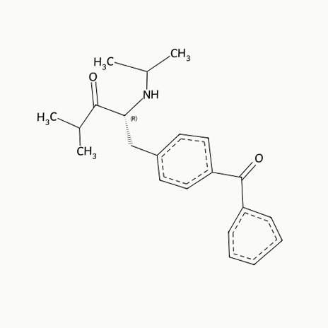 CC(C)N[C@H](Cc1ccc(C(=O)c2ccccc2)cc1)C(=O)C(C)C